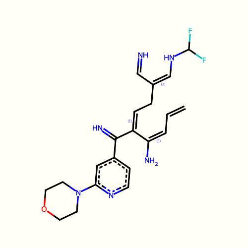 C=C/C=C(N)\C(=C/C/C(C=N)=C/NC(F)F)C(=N)c1ccnc(N2CCOCC2)c1